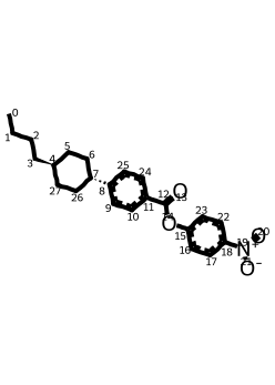 CCCC[C@H]1CC[C@H](c2ccc(C(=O)Oc3ccc([N+](=O)[O-])cc3)cc2)CC1